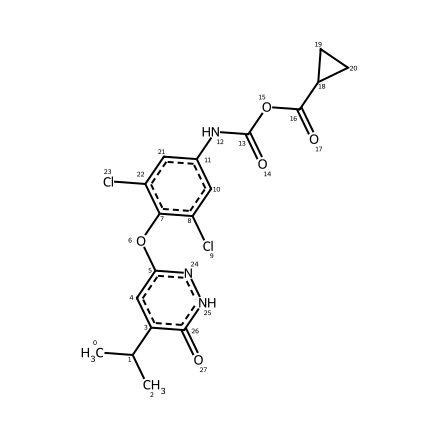 CC(C)c1cc(Oc2c(Cl)cc(NC(=O)OC(=O)C3CC3)cc2Cl)n[nH]c1=O